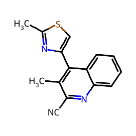 Cc1nc(-c2c(C)c(C#N)nc3ccccc23)cs1